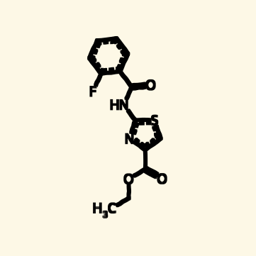 CCOC(=O)c1csc(NC(=O)c2ccccc2F)n1